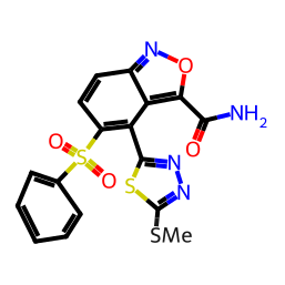 CSc1nnc(-c2c(S(=O)(=O)c3ccccc3)ccc3noc(C(N)=O)c23)s1